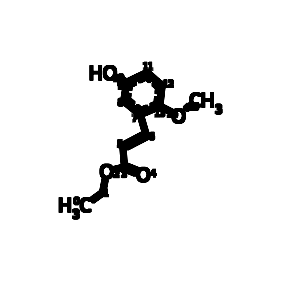 CCOC(=O)/C=C/c1cc(O)ccc1OC